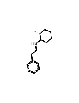 C[C@@H]1CCCCC1NCCc1ccccc1